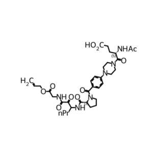 C=CCOC(=O)CNC(=O)C(=O)C(CCC)NC(=O)[C@@H]1CCCN1C(=O)c1ccc(N2CCN(C(=O)[C@H](CCC(=O)O)NC(C)=O)CC2)cc1